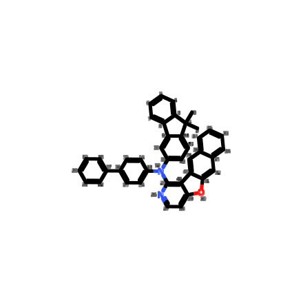 CC1(C)c2ccccc2-c2cc(N(c3ccc(-c4ccccc4)cc3)c3nccc4oc5cc6ccccc6cc5c34)ccc21